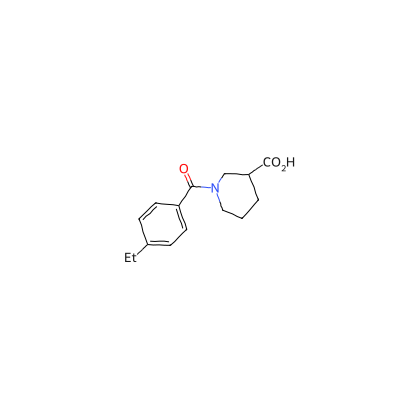 CCc1ccc(C(=O)N2CCCC(C(=O)O)C2)cc1